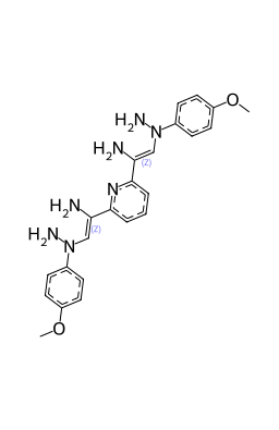 COc1ccc(N(N)/C=C(\N)c2cccc(/C(N)=C/N(N)c3ccc(OC)cc3)n2)cc1